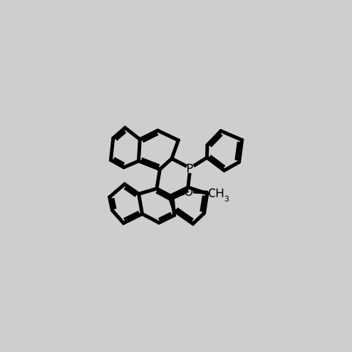 COc1ccc2ccccc2c1C1=c2ccccc2=CCC1P(c1ccccc1)c1ccccc1